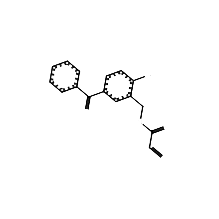 C=CC(=O)NCc1cc(C(=O)c2ccccc2)ccc1O